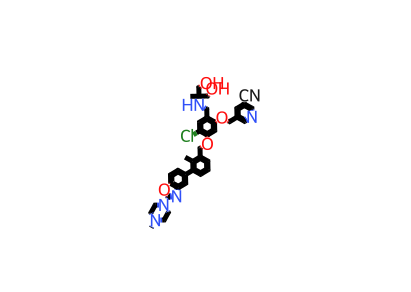 Cc1c(COc2cc(OCc3cncc(C#N)c3)c(CNC(C)(CO)CO)cc2Cl)cccc1-c1ccc2oc(N3CCN(C)CC3)nc2c1